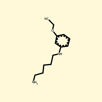 N#CCOc1cccc(NCCCCCN)c1